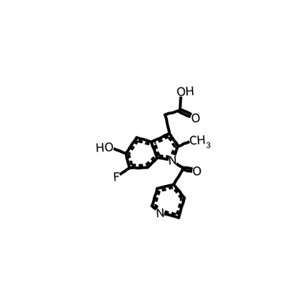 Cc1c(CC(=O)O)c2cc(O)c(F)cc2n1C(=O)c1ccncc1